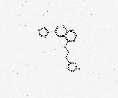 c1nc(NCCc2c[nH]cn2)c2cc(-c3ccoc3)ccc2n1